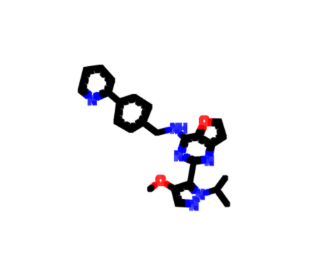 COc1cnn(C(C)C)c1-c1nc(NCc2ccc(-c3ccccn3)cc2)c2occc2n1